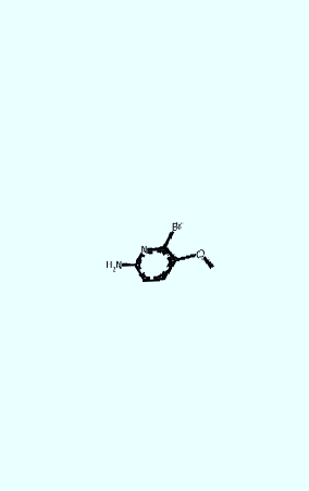 COc1ccc(N)nc1Br